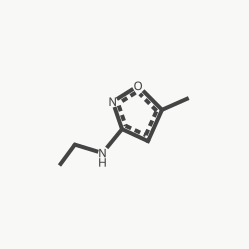 CCNc1cc(C)on1